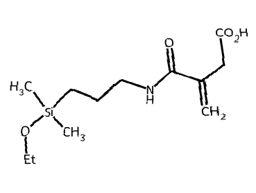 C=C(CC(=O)O)C(=O)NCCC[Si](C)(C)OCC